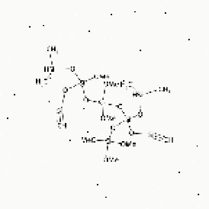 C#[Si]O[Si](OC)(O[SiH](C)C)O[Si](OC)(OC)O[Si](O[Si]#C)(O[SiH](C)C)O[Si](OC)(OC)OC